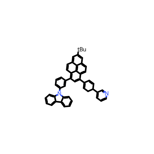 CC(C)(C)c1cc2ccc3c(C4=CCC(c5cccnc5)C=C4)cc(-c4cccc(-n5c6ccccc6c6ccccc65)c4)c4ccc(c1)c2c34